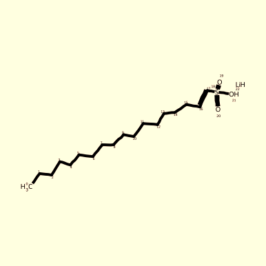 CCCCCCCCCCCCCCCCC=CS(=O)(=O)O.[LiH]